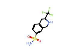 NS(=O)(=O)c1ccc2c(c1)CNC(C(F)(F)F)C2